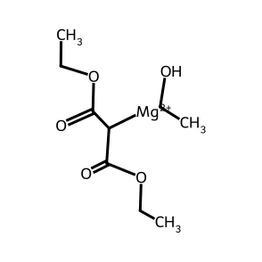 CCO.CCOC(=O)[CH]([Mg+2])C(=O)OCC